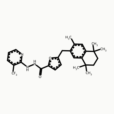 Cc1cc2c(cc1Cc1ccc(C(=O)NNc3ncccc3C(F)(F)F)o1)C(C)(C)CCC2(C)C